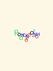 O=C=NC1(COc2ccc(F)c3c2CCC(=O)N3)CCN(c2cc(Cl)c(F)cc2Cl)CC1